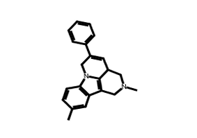 Cc1ccc2c(c1)c1c3n2CC(c2ccccc2)=CC3CN(C)C1